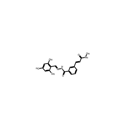 O=C(/C=C/c1cccc(C(=O)N/N=C/c2c(O)cc(O)cc2O)c1)NO